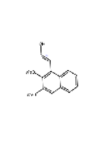 COc1cc2ccccc2c(/C=N/O)c1OC